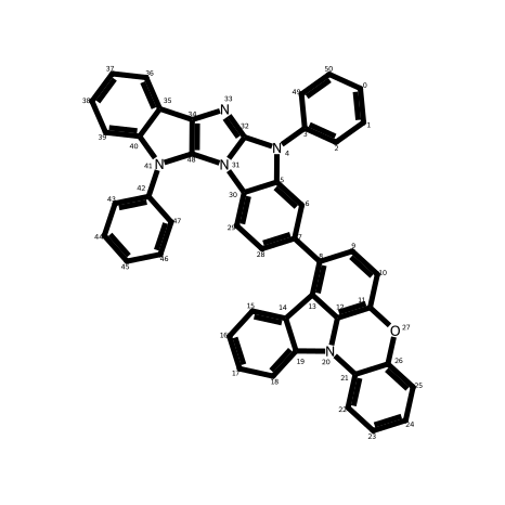 c1ccc(-n2c3cc(-c4ccc5c6c4c4ccccc4n6-c4ccccc4O5)ccc3n3c2nc2c4ccccc4n(-c4ccccc4)c23)cc1